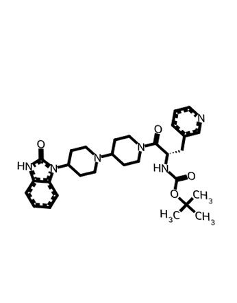 CC(C)(C)OC(=O)N[C@@H](Cc1cccnc1)C(=O)N1CCC(N2CCC(n3c(=O)[nH]c4ccccc43)CC2)CC1